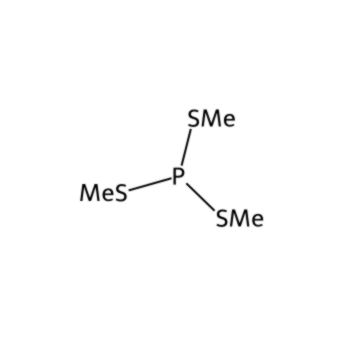 CSP(SC)SC